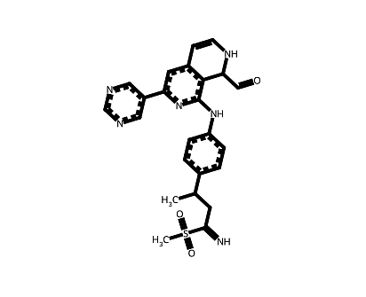 CC(CC(=N)S(C)(=O)=O)c1ccc(Nc2nc(-c3cncnc3)cc3c2C(C=O)NC=C3)cc1